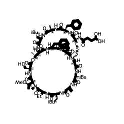 C=C1NC(=O)C([C@@H](C)CC)NC(=O)[C@@H]2CSSC[C@H](NC(=O)CCC(O)O)C(=O)N[C@H](Cc3ccccc3)C(=O)N[C@H](C)C(=O)NC(C[C@@H](C)CC)C(=O)N[C@@H](C(=O)N[C@H](Cc3ccccc3)C(=O)N3CCC[C@H]3C(=O)N2)[C@@H](C)OC(=O)[C@H](CO)NC(=O)[C@H]([C@@H](C)OC)N(C)C(=O)C(CC)NC(=O)[C@H](C[C@H](C)CC)NC1=O